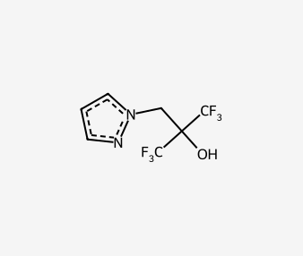 OC(Cn1cccn1)(C(F)(F)F)C(F)(F)F